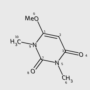 COc1cc(=O)n(C)c(=O)n1C